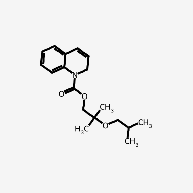 CC(C)COC(C)(C)COC(=O)N1CC=Cc2ccccc21